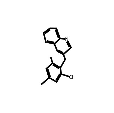 Cc1cc(C)c(Cc2cnc3ccccc3c2)c(Cl)c1